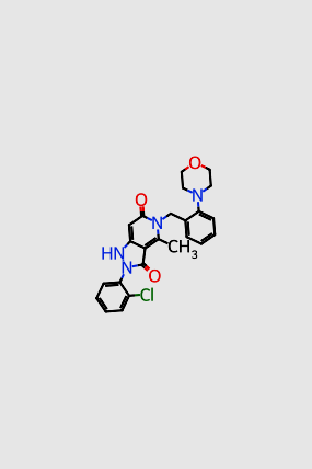 Cc1c2c(=O)n(-c3ccccc3Cl)[nH]c2cc(=O)n1Cc1ccccc1N1CCOCC1